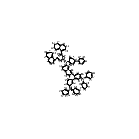 c1ccc(-c2ccc3c(c2)c2c4cc5c6ccc(N(c7ccccc7)c7ccccc7)cc6c6cc(N(c7ccccc7)c7ccccc7)ccc6c5cc4ccc2n3-c2nc(-c3cccc4ccccc34)nc(-c3cccc4ccccc34)n2)cc1